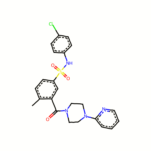 Cc1ccc(S(=O)(=O)Nc2ccc(Cl)cc2)cc1C(=O)N1CCN(c2ccccn2)CC1